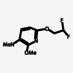 CNc1ccc(OCC(F)F)nc1OC